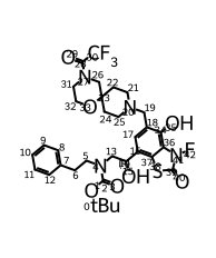 CC(C)(C)OC(=O)N(CCc1ccccc1)C[C@H](O)c1cc(CN2CCC3(CC2)CN(C(=O)C(F)(F)F)CCO3)c(O)c2c1sc(=O)n2F